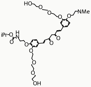 CNCCOc1ccc(/C=C/C(=O)CC(=O)/C=C/c2ccc(OCCNC(=O)OC(C)C)c(OCCOCCOCCO)c2)cc1OCCOCCOCCO